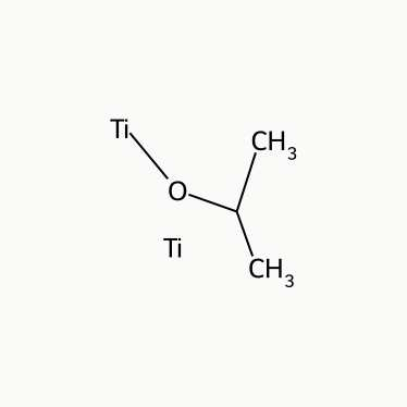 CC(C)[O][Ti].[Ti]